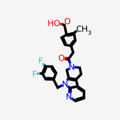 Cc1cc(CC(=O)N2CCc3c(n(Cc4ccc(F)c(F)c4)c4ncccc34)C2)ccc1C(=O)O